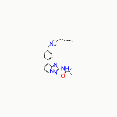 CCCCC1CN(Cc2ccc(-c3cccn4nc(NC(=O)C(C)C)nc34)cc2)C1